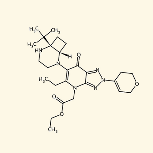 CCOC(=O)Cn1c(CC)c(N2CCN[C@]3(C(C)(C)C)CC[C@H]23)c(=O)c2nn(C3=CCOCC3)nc21